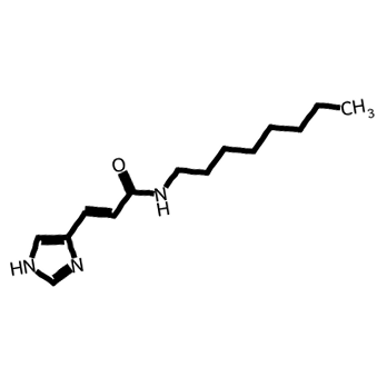 CCCCCCCCNC(=O)C=Cc1c[nH]cn1